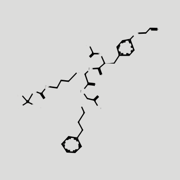 C=CCOc1ccc(C[C@H](NC(C)=O)C(=O)N[C@@H](CCCCNC(=O)OC(C)(C)C)C(=O)N[C@@H](CCCCc2ccccc2)C(=O)O)cc1